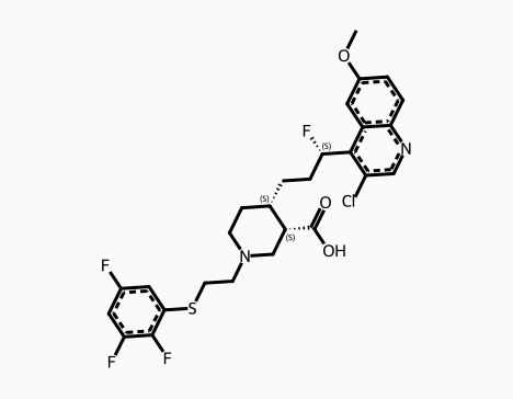 COc1ccc2ncc(Cl)c([C@@H](F)CC[C@H]3CCN(CCSc4cc(F)cc(F)c4F)C[C@H]3C(=O)O)c2c1